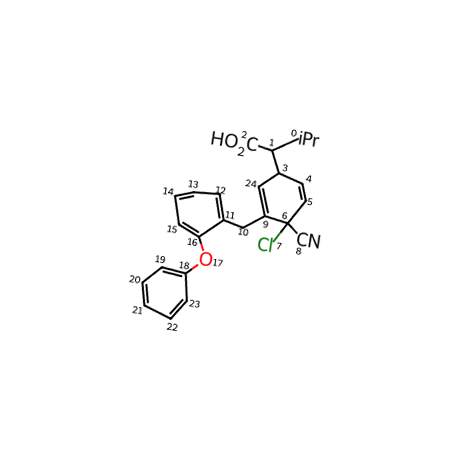 CC(C)C(C(=O)O)C1C=CC(Cl)(C#N)C(Cc2ccccc2Oc2ccccc2)=C1